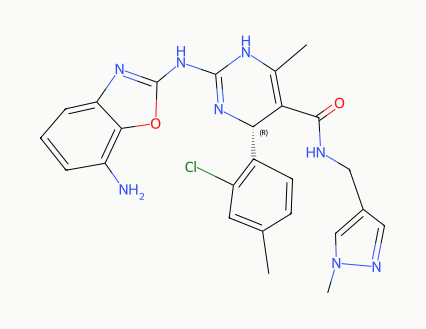 CC1=C(C(=O)NCc2cnn(C)c2)[C@H](c2ccc(C)cc2Cl)N=C(Nc2nc3cccc(N)c3o2)N1